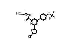 C[C@@H](CO)NC(=O)c1cc(-c2ccc(OC(F)(F)F)cc2)nc(-c2ccc(Cl)s2)n1